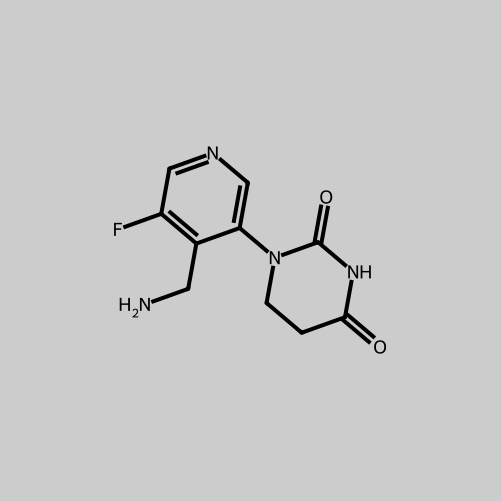 NCc1c(F)cncc1N1CCC(=O)NC1=O